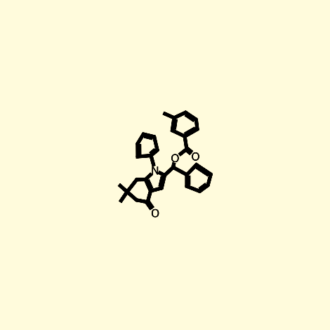 Cc1cccc(C(=O)OC(c2ccccc2)c2cc3c(n2-c2ccccc2)CC(C)(C)CC3=O)c1